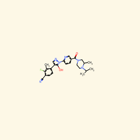 Cc1c(-c2cnn(-c3ccc(C(=O)N4CCN(C(C)C)C(C)C4)cn3)c2O)ccc(C#N)c1F